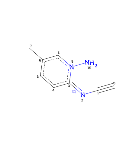 C#C/N=c1/ccc(C)cn1N